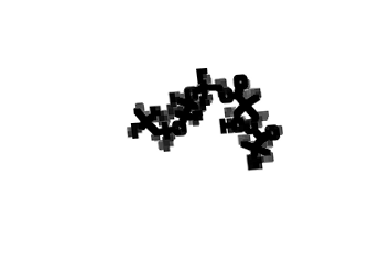 CC(F)(F)CC(F)(F)OC(F)(F)C(F)(F)OC(F)(F)COC(=O)C(C)(CO)COC(=O)C(C)(C)Br